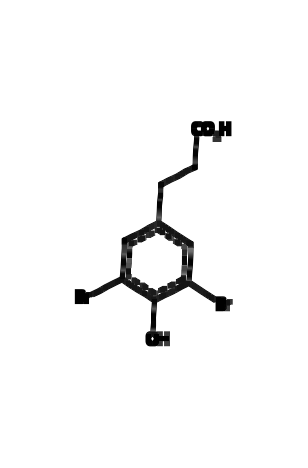 O=C(O)CCc1cc(Br)c(O)c(Br)c1